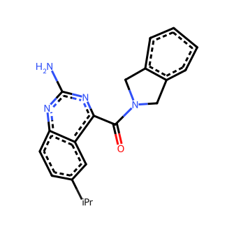 CC(C)c1ccc2nc(N)nc(C(=O)N3Cc4ccccc4C3)c2c1